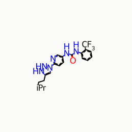 CC(C)CCC1=CN(c2ccc(NC(=O)Nc3ccccc3C(F)(F)F)cn2)NN1